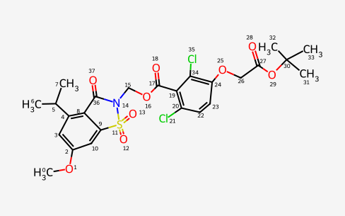 COc1cc(C(C)C)c2c(c1)S(=O)(=O)N(COC(=O)c1c(Cl)ccc(OCC(=O)OC(C)(C)C)c1Cl)C2=O